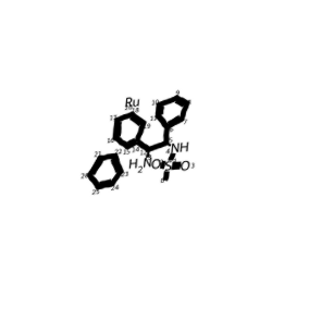 CS(=O)(=O)N[C@@H](c1ccccc1)[C@@H](N)c1ccccc1.[Ru].c1ccccc1